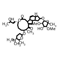 CO[C@@H]1[C@@H](O)[C@@H](OC)[C@H](OC2CC3C4C=C5C(=O)[C@H](C)[C@@H](OC6CC[C@H](N(C)C)[C@@H](C)O6)CCC[C@H](/C=C/C(C)O)OC(=O)CC5C4C=C[C@@H]3C2)O[C@H]1C